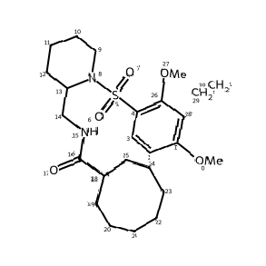 COc1ccc(S(=O)(=O)N2CCCCC2CNC(=O)[C]2CCCCCCC2)c(OC)c1.[CH2].[CH2]